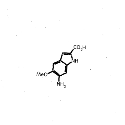 COc1cc2cc(C(=O)O)[nH]c2cc1N